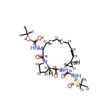 CC(C)(C)OC(=O)N[C@H]1CCCCC/C=C\[C@@H]2C[C@@]2(C(=O)N[S@@+]([O-])C(C)(C)C)NC(=O)[C@@H]2CCCN2C1=O